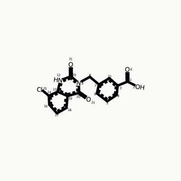 O=C(O)c1cccc(Cn2c(=O)[nH]c3c(Cl)cccc3c2=O)c1